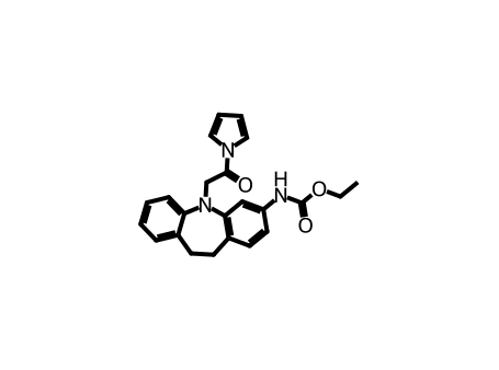 CCOC(=O)Nc1ccc2c(c1)N(CC(=O)n1cccc1)c1ccccc1CC2